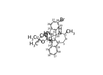 CC1CCc2c(n(C(=O)OC(C)(C)C)c3ccccc23)C2(N1)C(=O)Nc1ccc(Br)cc12